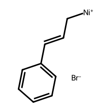 [Br-].[Ni+][CH2]/C=C/c1ccccc1